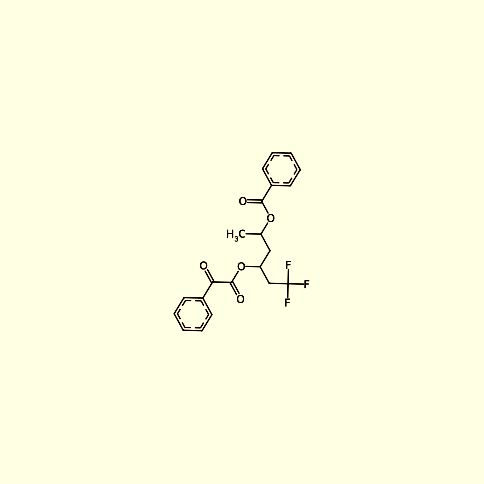 CC(CC(CC(F)(F)F)OC(=O)C(=O)c1ccccc1)OC(=O)c1ccccc1